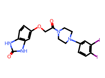 O=C(COc1ccc2[nH]c(=O)[nH]c2c1)N1CCN(c2ccc(I)c(I)c2)CC1